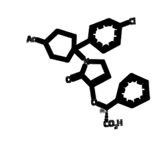 CC(=O)C1CCC(c2ccc(Cl)cc2)(N2CC=C(O[C@@H](C(=O)O)c3ccccc3)C2=O)CC1